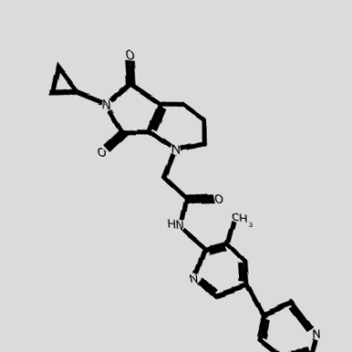 Cc1cc(-c2cccnc2)cnc1NC(=O)CN1CCCC2=C1C(=O)N(C1CC1)C2=O